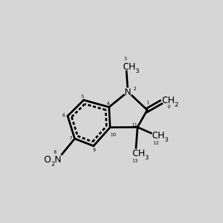 C=C1N(C)c2ccc([N+](=O)[O-])cc2C1(C)C